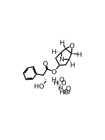 Br.CN1[C@@H]2CC(OC(=O)[C@H](CO)c3ccccc3)C[C@H]1[C@@H]1O[C@@H]12.O.O.O